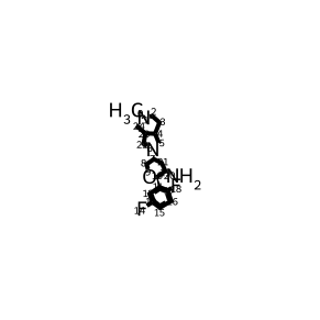 CN1CCC2CN([C@H]3CO[C@H](c4cc(F)ccc4F)[C@@H](N)C3)CC2C1